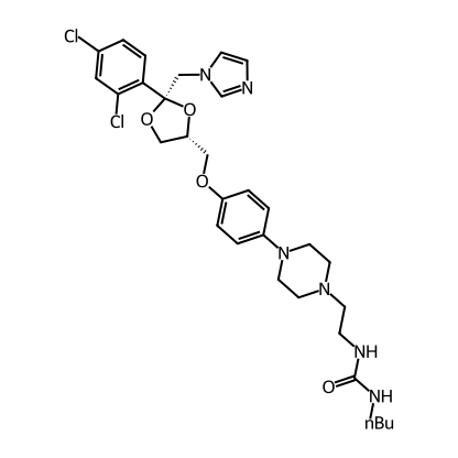 CCCCNC(=O)NCCN1CCN(c2ccc(OC[C@@H]3CO[C@@](Cn4ccnc4)(c4ccc(Cl)cc4Cl)O3)cc2)CC1